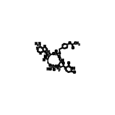 CC(=O)Oc1ccc(CSP2(=O)OC[C@H]3O[C@@H](n4ccc(=O)[nH]c4=O)[C@H](F)[C@@H]3OP(=O)(O)OC[C@H]3O[C@@H](n4cnc5c(N)ncnc54)[C@H](O2)[C@@H]3F)cc1